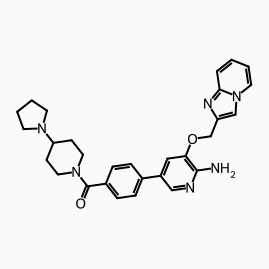 Nc1ncc(-c2ccc(C(=O)N3CCC(N4CCCC4)CC3)cc2)cc1OCc1cn2ccccc2n1